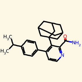 CC(C)c1ccc(-c2ccnc(C(N)=O)c2C23CC4CC(CC(C4)C2)C3)cc1